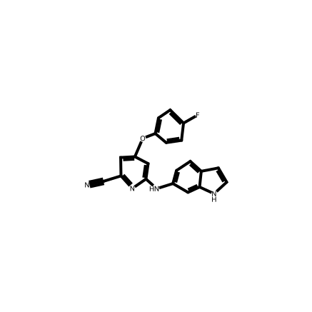 N#Cc1cc(Oc2ccc(F)cc2)cc(Nc2ccc3cc[nH]c3c2)n1